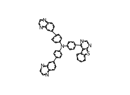 c1ccc2c(c1)sc1ncnc(-c3ccc(N(c4ccc(-c5ccc6nccnc6c5)cc4)c4ccc(-c5ccc6nccnc6c5)cc4)cc3)c12